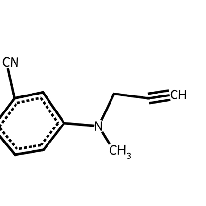 C#CCN(C)c1cccc(C#N)c1